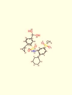 CS(=O)(=O)c1ccc(C2CCCCC2)c(NS(=O)(=O)c2cc(C(O)O)ccc2C2CC2)c1